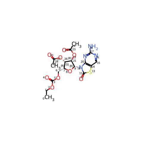 CCOC(=O)OC[C@H]1O[C@@H](n2c(=O)sc3cnc(N)nc32)[C@H](OC(C)=O)[C@H]1OC(C)=O